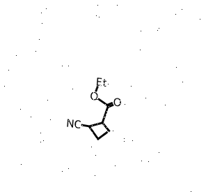 CCOC(=O)C1CCC1C#N